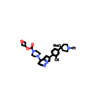 COC1(c2ccc(-c3cc4c(N5CCN(C(=O)OC6COC6)CC5)ccnn4c3)c(C#N)c2)CCN(C(C)C)CC1